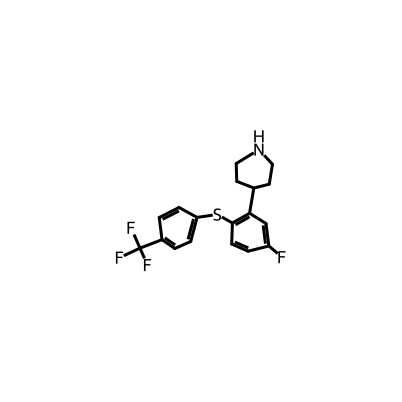 Fc1ccc(Sc2ccc(C(F)(F)F)cc2)c(C2CCNCC2)c1